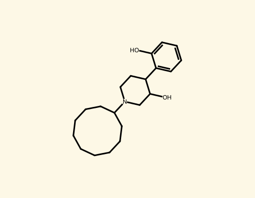 Oc1ccccc1C1CCN(C2CCCCCCCCC2)CC1O